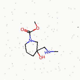 CNCC1(O)CCCN(C(=O)OC)C1